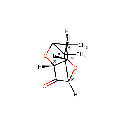 C[C@@H]1C2O[C@H]3C(=O)[C@H](O[C@@H]13)[C@H]2C